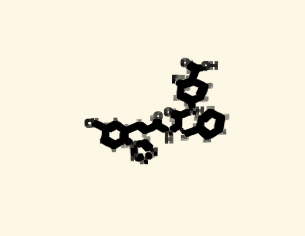 O=C(/C=C/c1cc(Cl)ccc1-n1cnnn1)N[C@@H](Cc1ccccc1)C(=O)Nc1ccc(C(=O)O)c(F)c1